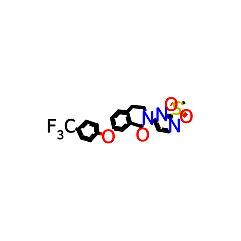 CS(=O)(=O)c1nccc(N2CCc3ccc(Oc4ccc(C(F)(F)F)cc4)cc3C2=O)n1